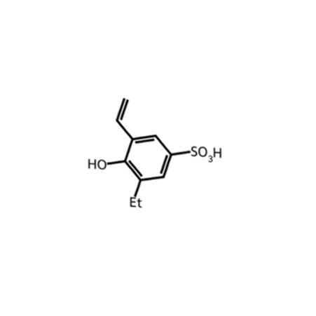 C=Cc1cc(S(=O)(=O)O)cc(CC)c1O